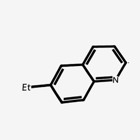 CCc1ccc2n[c]ccc2c1